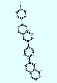 Fc1ccc(-c2ccc3cc(-c4ccc(-c5ccc6ccccc6c5)nc4)cnc3c2)cc1